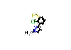 Cn1ccc(-c2cccc(S)c2Cl)n1